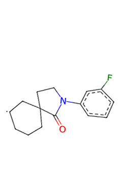 O=C1N(c2cccc(F)c2)CCC12C[CH]CCC2